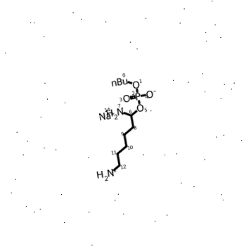 CCCCOP(=O)([O-])OC(N)CCCCCN.[Na+]